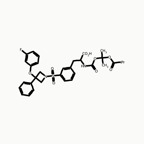 CC(C)C(=O)OC(C)(C)OC(=O)NC(Cc1cccc(S(=O)(=O)N2CC(Oc3cccc(F)c3)(c3ccccc3)C2)c1)C(=O)O